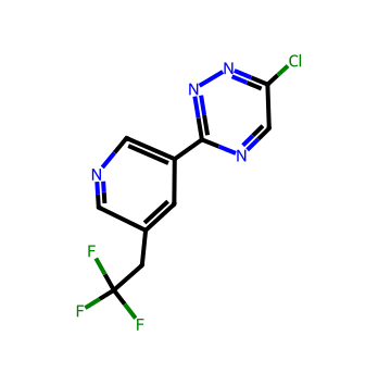 FC(F)(F)Cc1cncc(-c2ncc(Cl)nn2)c1